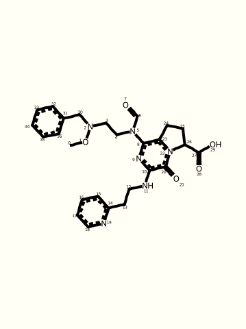 CON(CCN(C=O)c1nc(NCCc2ccccn2)c(=O)n2c1CCC2C(=O)O)Cc1ccccc1